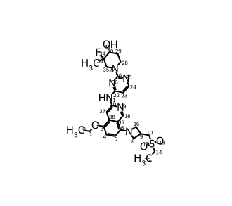 CCOc1ccc(N2CC(CS(=O)(=O)CC)C2)c2cnc(Nc3ccnc(N4CC[C@@H](O)[C@@](C)(F)C4)n3)cc12